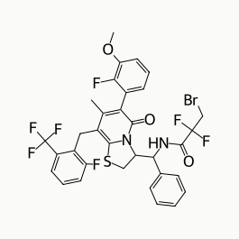 COc1cccc(-c2c(C)c(Cc3c(F)cccc3C(F)(F)F)c3n(c2=O)C(C(NC(=O)C(F)(F)CBr)c2ccccc2)CS3)c1F